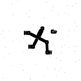 O=P(O)(O)OO.[Cu]